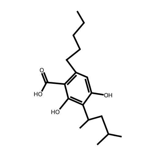 CCCCCc1cc(O)c(C(C)CC(C)C)c(O)c1C(=O)O